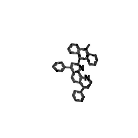 Cc1c2ccccc2c(-c2cc(-c3ccccc3)c3ccc4c(-c5ccccc5)ccnc4c3n2)c2ccccc12